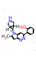 Cc1cc2nnc(-c3ccccc3O)cc2n1[C@H]1[C@@H]2CNC[C@@H]21